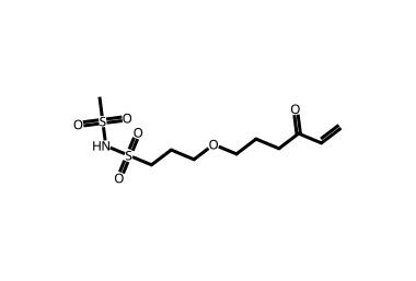 C=CC(=O)CCCOCCCS(=O)(=O)NS(C)(=O)=O